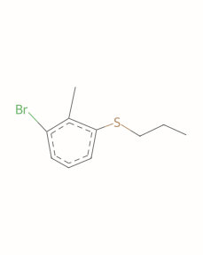 CCCSc1cccc(Br)c1C